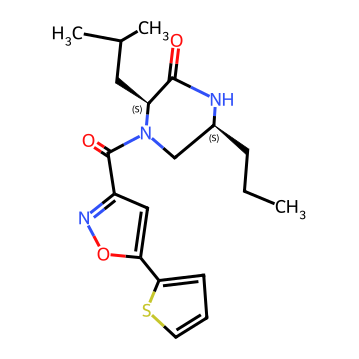 CCC[C@H]1CN(C(=O)c2cc(-c3cccs3)on2)[C@@H](CC(C)C)C(=O)N1